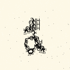 CNC(=O)NC(=NC(=O)OC(C)(C)C)NCCCCN1CCCCCCOc2ccccc2CNC(=NC(=O)OC(C)(C)C)NC1=O